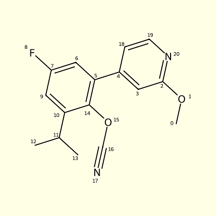 COc1cc(-c2cc(F)cc(C(C)C)c2OC#N)ccn1